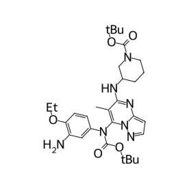 CCOc1ccc(N(C(=O)OC(C)(C)C)c2c(C)c(NC3CCCN(C(=O)OC(C)(C)C)C3)nc3ccnn23)cc1N